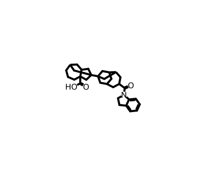 O=C(C1CC2CC3CC(C45CC6CCCC(C(=O)O)(C4)C(C6)C5)(C2)CC3C1)N1CCc2ccccc21